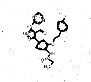 CC[S+]([O-])Nc1ccc(-c2n[nH]c(Nc3cnccn3)c2C=O)cc1OCCc1ccc(F)cc1